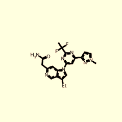 CCc1cn(-c2cc(-c3ccn(C)n3)nc(C(C)(F)F)n2)c2cc(CC(N)=O)ncc12